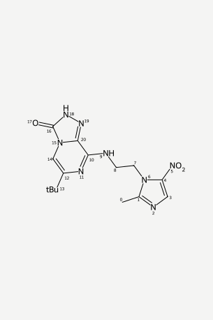 Cc1ncc([N+](=O)[O-])n1CCNc1nc(C(C)(C)C)cn2c(=O)[nH]nc12